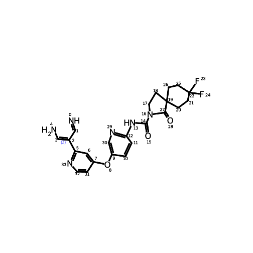 N=C/C(=C\N)c1cc(Oc2ccc(NC(=O)N3CCC4(CCC(F)(F)CC4)C3=O)nc2)ccn1